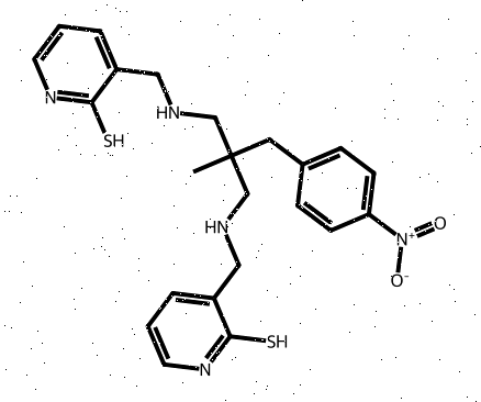 CC(CNCc1cccnc1S)(CNCc1cccnc1S)Cc1ccc([N+](=O)[O-])cc1